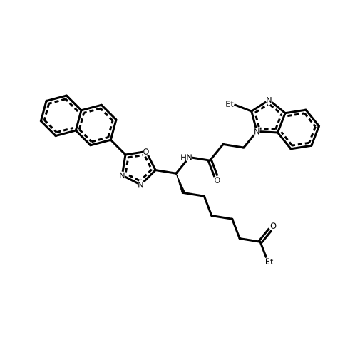 CCC(=O)CCCCC[C@H](NC(=O)CCn1c(CC)nc2ccccc21)c1nnc(-c2ccc3ccccc3c2)o1